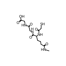 CNC(=O)CCCC(NC(=O)CS)C(=O)NCC(=O)NCC(=O)O